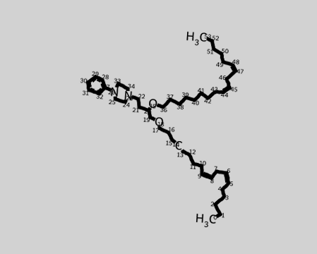 CCCCC/C=C\C/C=C\CCCCCCCCOCC(CCN1CCN(c2ccccc2)CC1)OCCCCCCCC/C=C\C/C=C\CCCCC